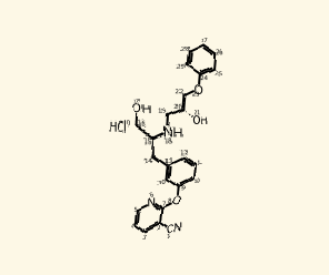 Cl.N#Cc1cccnc1Oc1cccc(C[C@@H](CO)NC[C@@H](O)COc2ccccc2)c1